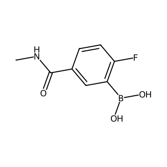 CNC(=O)c1ccc(F)c(B(O)O)c1